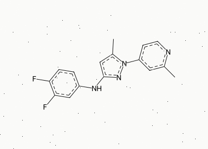 Cc1cc(-n2nc(Nc3ccc(F)c(F)c3)cc2C)ccn1